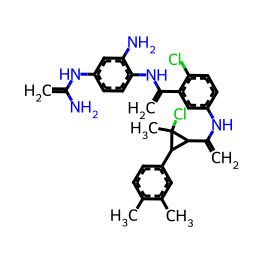 C=C(N)Nc1ccc(NC(=C)c2cc(NC(=C)C3C(c4ccc(C)c(C)c4)C3(C)Cl)ccc2Cl)c(N)c1